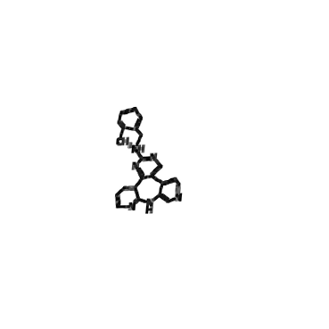 Cc1ccccc1CNc1ncc2c(n1)-c1cccnc1Nc1cnccc1-2